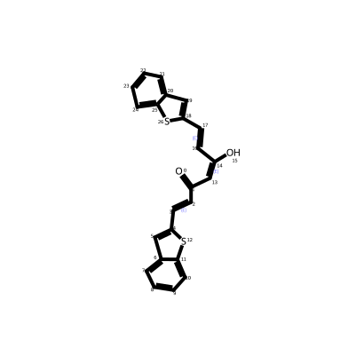 O=C(/C=C/c1cc2ccccc2s1)/C=C(O)\C=C\c1cc2ccccc2s1